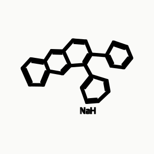 [NaH].c1ccc(-c2ccc3cc4ccccc4cc3c2-c2ccccc2)cc1